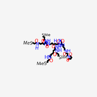 CSCCC(=O)NCCCCC(NC(=O)CCSC)C(=O)NCCCCC(NC(=O)C(CCCCNC(=O)CCSC)NC(=O)CCSC)C(=O)NC(CCCCNC(=O)CCN1C(=O)C=CC1=O)C(N)=O